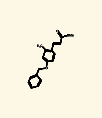 COC(=O)C=Cc1ccc(OCc2ccccc2)cc1C